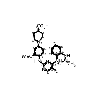 COc1cc(N2CCC(C(=O)O)CC2)ccc1Nc1ncc(Cl)c(Nc2ccccc2N[S+](C)[O-])n1